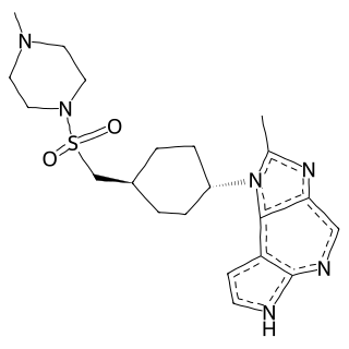 Cc1nc2cnc3[nH]ccc3c2n1[C@H]1CC[C@H](CS(=O)(=O)N2CCN(C)CC2)CC1